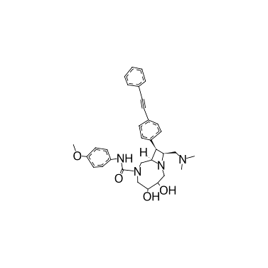 COc1ccc(NC(=O)N2CC(O)C(O)CN3[C@H](CN(C)C)[C@H](c4ccc(C#Cc5ccccc5)cc4)[C@@H]3C2)cc1